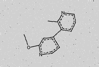 COc1[c]c(-c2cccnc2C)ccn1